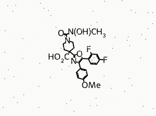 COc1ccc(-c2nc(C3(C(=O)O)CCN(C(=O)N(C)O)CC3)oc2-c2ccc(F)cc2F)cc1